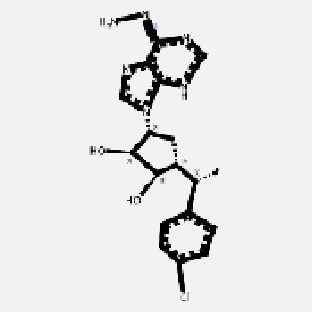 N/N=c1/nc[nH]c2c1ncn2[C@@H]1C[C@H]([C@H](F)c2ccc(Cl)cc2)[C@@H](O)[C@H]1O